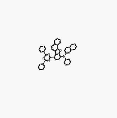 c1ccc(-c2nc(-c3ccccc3)nc(-c3ccc(N(c4ccccc4)c4ccc5ccccc5c4)c4oc5c6ccccc6ccc5c34)n2)cc1